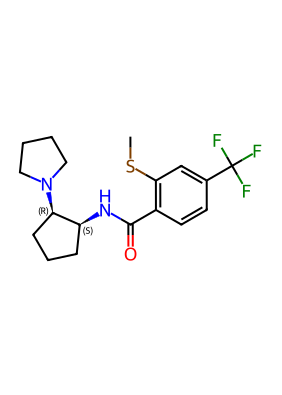 CSc1cc(C(F)(F)F)ccc1C(=O)N[C@H]1CCC[C@H]1N1CCCC1